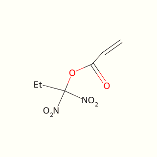 C=CC(=O)OC(CC)([N+](=O)[O-])[N+](=O)[O-]